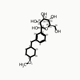 COC1CCC(Cc2cccc([C@]3(O)O[C@H](CO)[C@@H](O)[C@H](O)[C@H]3O)c2)CC1